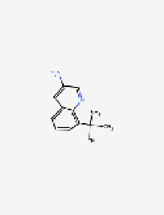 CC(C)(C)c1cccc2cc(N)cnc12